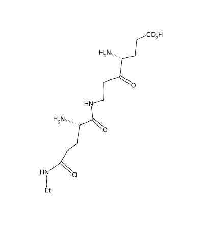 CCNC(=O)CC[C@H](N)C(=O)NCCC(=O)[C@H](N)CCC(=O)O